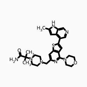 Cc1cc2c(-c3cc4c(N5CCOCC5)nc(CN5CCN(C(C)(C)C(N)=O)CC5)cc4s3)cncc2[nH]1